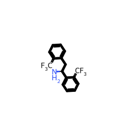 N[C@@H](Cc1ccccc1C(F)(F)F)c1ccccc1C(F)(F)F